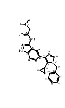 CN(C)CC(=O)Nc1n[nH]c2ccc(-c3nnn(Cc4ccccc4)c3C3CC3)cc12